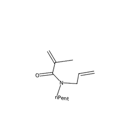 C=CCN(CCCCC)C(=O)C(=C)C